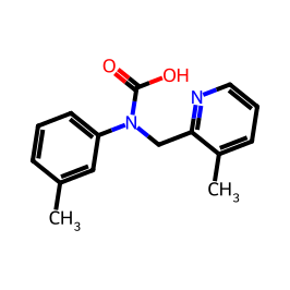 Cc1cccc(N(Cc2ncccc2C)C(=O)O)c1